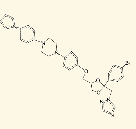 Brc1ccc(C2(Cn3cncn3)OCC(COc3ccc(N4CCN(c5ccc(-n6cccc6)cc5)CC4)cc3)O2)cc1